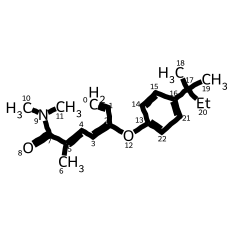 C=C/C(=C\C=C(/C)C(=O)N(C)C)Oc1ccc(C(C)(C)CC)cc1